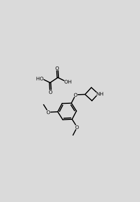 COc1cc(OC)cc(OC2CNC2)c1.O=C(O)C(=O)O